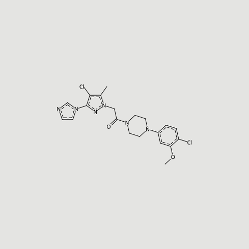 COc1cc(N2CCN(C(=O)Cn3nc(-n4ccnc4)c(Cl)c3C)CC2)ccc1Cl